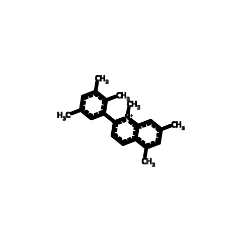 Cc1cc(C)c(C)c(-c2ccc3c(C)cc(C)cc3[n+]2C)c1